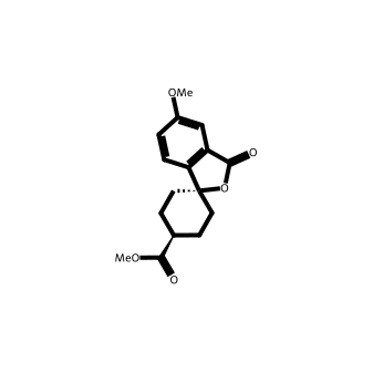 COc1ccc2c(c1)C(=O)O[C@]21CC[C@H](C(=O)OC)CC1